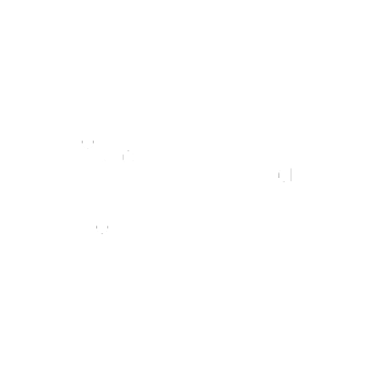 COC1=CC(=O)OC(CCc2ccc(Cl)cc2)C1